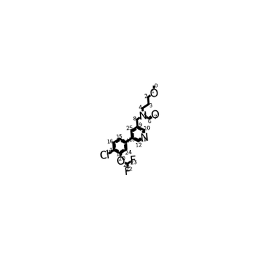 COCCCN(C=O)Cc1cncc(-c2ccc(Cl)c(OC(F)F)c2)c1